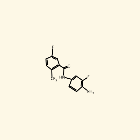 Nc1ccc(NC(=O)c2cc(F)ccc2C(F)(F)F)cc1F